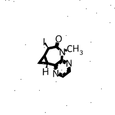 CN1C(=O)[C@H](I)C2C[C@H]2c2nccnc21